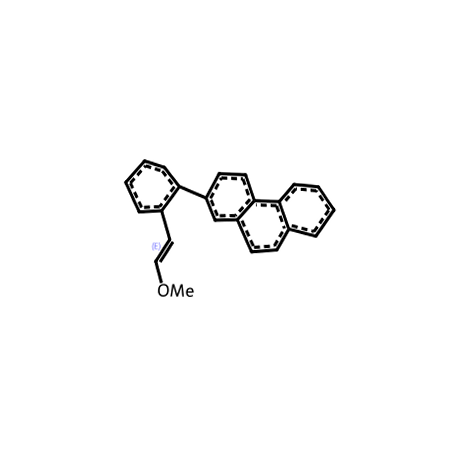 CO/C=C/c1ccccc1-c1ccc2c(ccc3ccccc32)c1